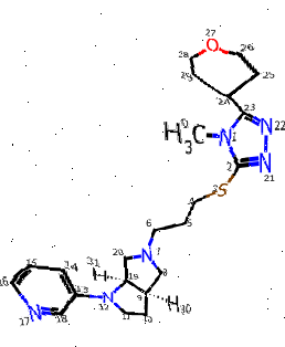 Cn1c(SCCCN2C[C@H]3CCN(c4cccnc4)[C@H]3C2)nnc1C1CCOCC1